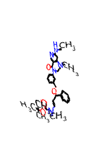 CCNc1cc2c(cn1)C(=O)N(c1cccc(COC(CCN(C)C(=O)OC(C)(C)C)c3ccccc3)c1)CCN2C